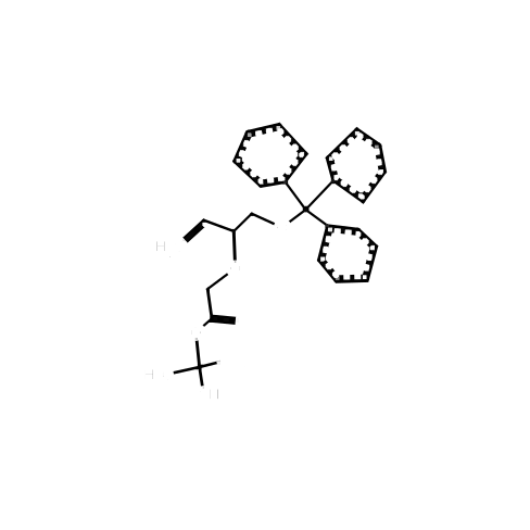 C=CC(COC(c1ccccc1)(c1ccccc1)c1ccccc1)OCC(=O)OC(C)(C)C